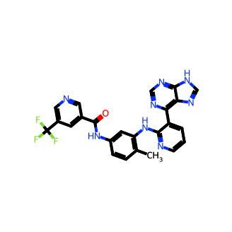 Cc1ccc(NC(=O)c2cncc(C(F)(F)F)c2)cc1Nc1ncccc1-c1ncnc2[nH]cnc12